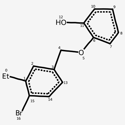 CCc1cc(COc2ccccc2O)ccc1Br